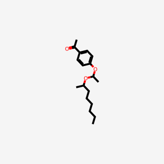 CCCCCCC(C)OC(C)Oc1ccc(C(C)=O)cc1